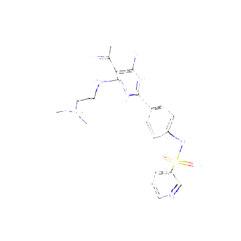 CC(=N)c1c(N)nc(-c2ccc(NS(=O)(=O)c3cccnc3)cc2)nc1NCCN(C)C